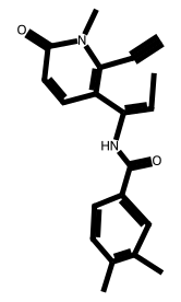 C#Cc1c(/C(=C\C)NC(=O)c2ccc(C)c(C)c2)ccc(=O)n1C